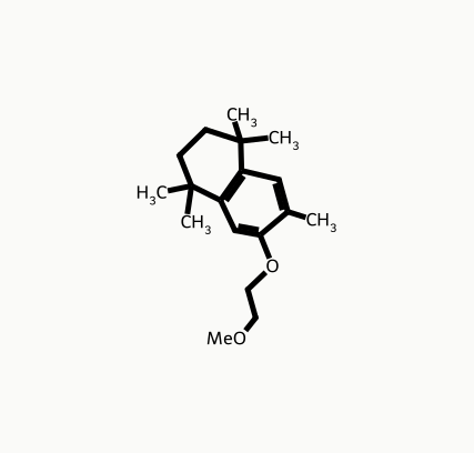 COCCOc1cc2c(cc1C)C(C)(C)CCC2(C)C